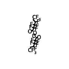 O=C(OOC(=O)C(F)(F)C(F)(F)C(F)CC(F)(F)F)C(F)(F)C(F)(F)C(F)CC(F)(F)F